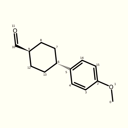 COc1ccc([C@H]2CC[C@H](C=O)CC2)cc1